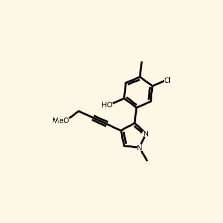 COCC#Cc1cn(C)nc1-c1cc(Cl)c(C)cc1O